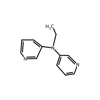 CCN(c1cccnc1)c1cccnc1